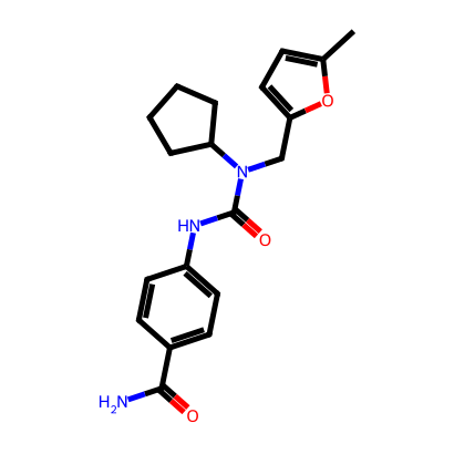 Cc1ccc(CN(C(=O)Nc2ccc(C(N)=O)cc2)C2CCCC2)o1